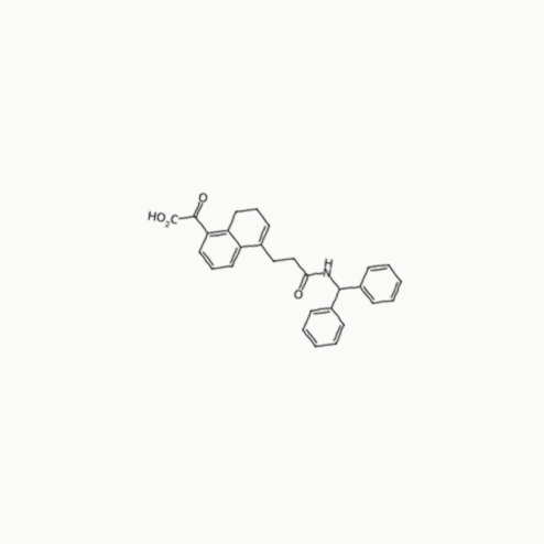 O=C(CCC1=CCCc2c(C(=O)C(=O)O)cccc21)NC(c1ccccc1)c1ccccc1